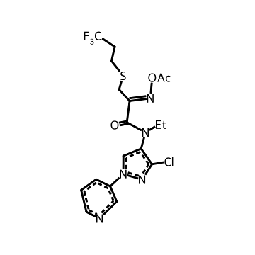 CCN(C(=O)C(CSCCC(F)(F)F)=NOC(C)=O)c1cn(-c2cccnc2)nc1Cl